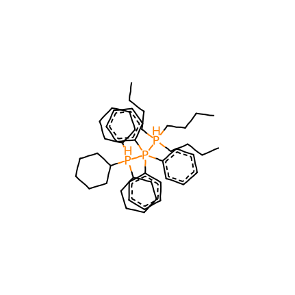 CCCC[PH](CCCC)(CCCC)P(c1ccccc1)(c1ccccc1)(c1ccccc1)[PH](C1CCCCC1)(C1CCCCC1)C1CCCCC1